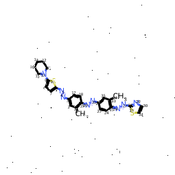 Cc1cc(/N=N/c2ccc(N3CCCCC3)s2)ccc1/N=N/c1ccc(/N=N/c2nccs2)c(C)c1